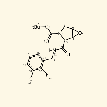 CC(C)(C)OC(=O)N1CC2OC2[C@H]1C(=O)NCc1cccc(Cl)c1F